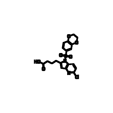 O=C(O)CCCc1cc2nc(Cl)ccc2n1S(=O)(=O)c1ccc2c(c1)OCCO2